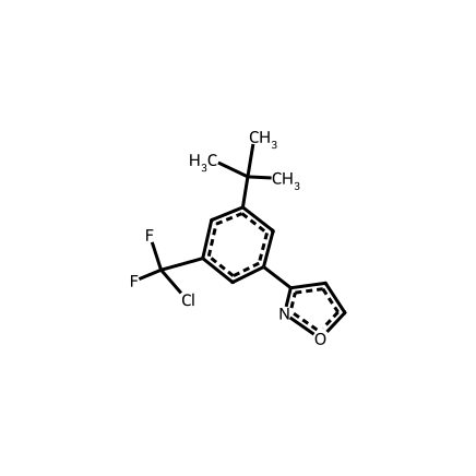 CC(C)(C)c1cc(-c2ccon2)cc(C(F)(F)Cl)c1